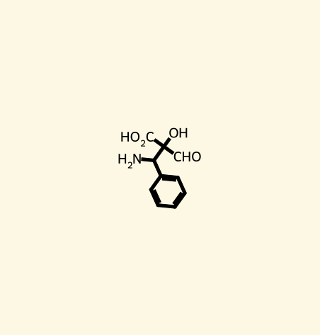 NC(c1ccccc1)C(O)(C=O)C(=O)O